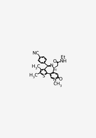 CCNC(=O)C[C@@H]1N=C(c2ccc(C#N)cc2)c2c(sc(C)c2C)-c2cn(C)c(=O)cc21